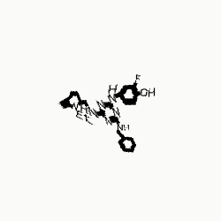 CCN1CCCCC1CNc1nc(NCC2CCCCC2)nc(Nc2ccc(O)c(F)c2)n1